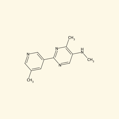 CNc1cnc(-c2cncc(C)c2)nc1C